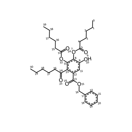 CCCCCC(=O)Oc1c(O)cc(C(=O)OCc2ccccc2)c(C(=O)CCCCC)c1OC(=O)CCCCC